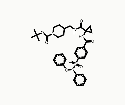 CC(C)(C)OC(=O)N1CCC(CNC(=O)C2(NC(=O)c3ccc(S(=O)(=O)N(Oc4ccccc4)c4ccccc4)cc3)CC2)CC1